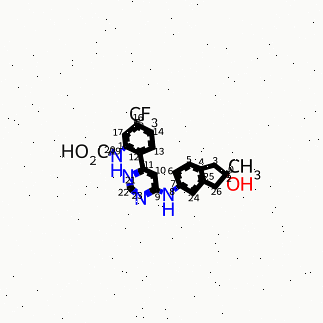 CC1(O)Cc2ccc(Nc3cc(-c4ccc(C(F)(F)F)cc4NC(=O)O)ncn3)cc2C1